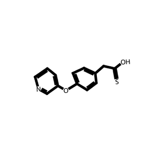 OC(=S)Cc1ccc(Oc2cccnc2)cc1